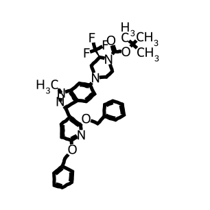 Cn1nc(-c2ccc(OCc3ccccc3)nc2OCc2ccccc2)c2ccc(N3CCN(C(=O)OC(C)(C)C)[C@H](C(F)(F)F)C3)cc21